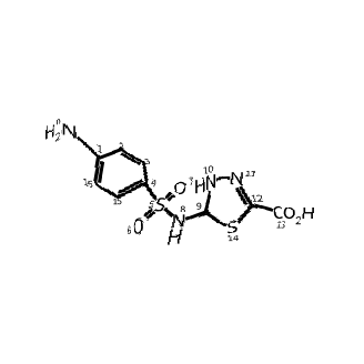 Nc1ccc(S(=O)(=O)NC2NN=C(C(=O)O)S2)cc1